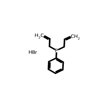 Br.C=CCP(CC=C)c1ccccc1